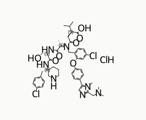 CC(C)[C@H](CC(=O)N(Cc1ccc(Cl)cc1Oc1ccc(-c2cnc(CN(C)C)n2C)cc1)[C@@H](C)C(=O)N[C@@H](CO)C(=O)N[C@@]1(Cc2ccc(Cl)cc2)CCCNC1)C(=O)O.Cl